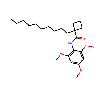 CCCCCCCCCCC1(C(=O)Nc2c(OC)cc(OC)cc2OC)CCC1